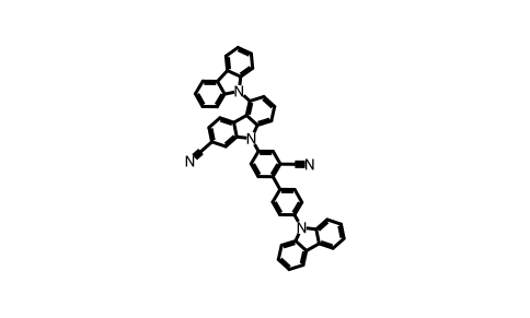 N#Cc1ccc2c3c(-n4c5ccccc5c5ccccc54)cccc3n(-c3ccc(-c4ccc(-n5c6ccccc6c6ccccc65)cc4)c(C#N)c3)c2c1